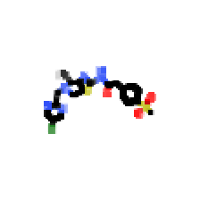 CC(C)[C@H]1c2nc(NC(=O)Cc3ccc(S(C)(=O)=O)cc3)sc2CN1Cc1ncc(Cl)cn1